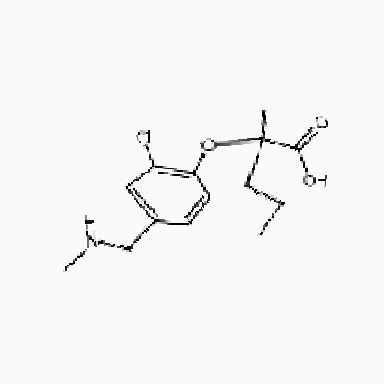 CCCC(C)(Oc1ccc(CNC)cc1Cl)C(=O)O